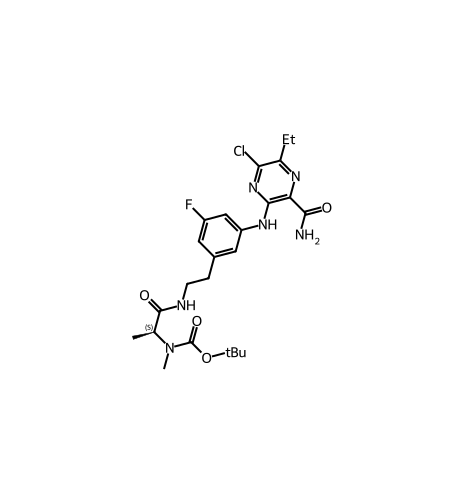 CCc1nc(C(N)=O)c(Nc2cc(F)cc(CCNC(=O)[C@H](C)N(C)C(=O)OC(C)(C)C)c2)nc1Cl